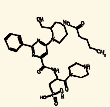 CCCCC(=O)O.O=C(NC(CP(=O)(O)O)C(=O)N1CCNCC1)c1cc(N2CCCCC2CO)nc(-c2ccccc2)n1